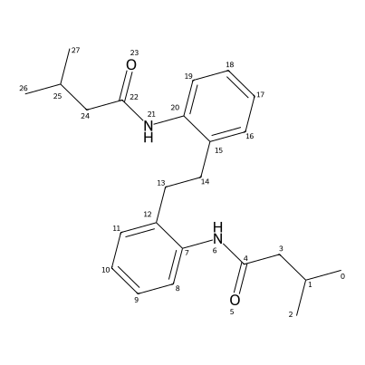 CC(C)CC(=O)Nc1ccccc1CCc1ccccc1NC(=O)CC(C)C